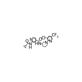 O=C(NC1CCCN(c2ncc(C(F)(F)F)cc2Cl)C1)c1ccnc(NC(=O)C2CC2)c1